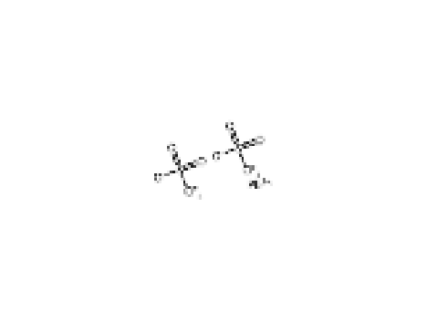 O=S(=O)([O-])C(F)(F)F.O=S(=O)([O-])C(F)(F)F.[Pb+2]